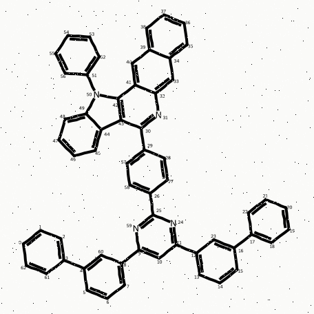 c1ccc(-c2cccc(-c3cc(-c4cccc(-c5ccccc5)c4)nc(-c4ccc(-c5nc6cc7ccccc7cc6c6c5c5ccccc5n6-c5ccccc5)cc4)n3)c2)cc1